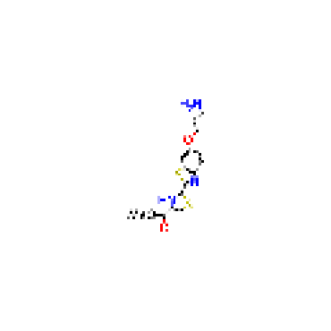 COC(=O)[C@H]1CSC(c2nc3ccc(OCCCN)cc3s2)N1